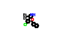 CCC(CC)C1CNCC(OCc2ccc3ccccc3c2)C1c1ccc(Cl)cc1